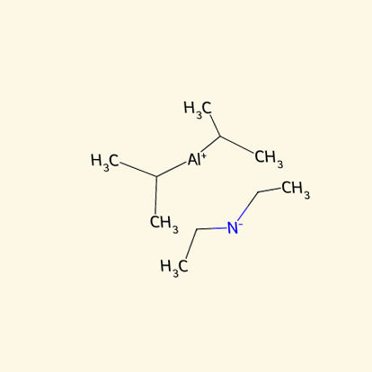 CC[N-]CC.C[CH](C)[Al+][CH](C)C